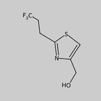 OCc1csc(CCC(F)(F)F)n1